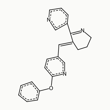 C(=C1/CCCN=C1c1cccnc1)/c1ccc(Oc2ccccc2)nc1